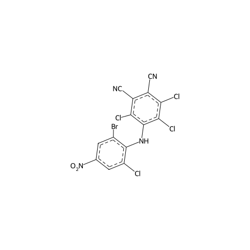 N#Cc1c(Cl)c(Cl)c(Nc2c(Cl)cc([N+](=O)[O-])cc2Br)c(Cl)c1C#N